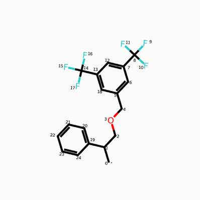 [CH2]C(COCc1cc(C(F)(F)F)cc(C(F)(F)F)c1)c1ccccc1